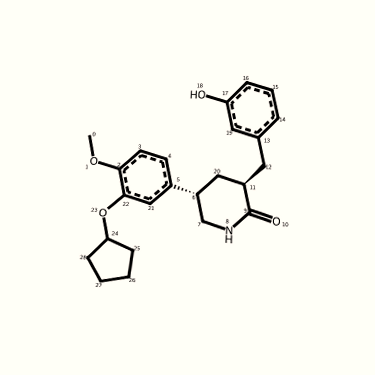 COc1ccc([C@H]2CNC(=O)[C@H](Cc3cccc(O)c3)C2)cc1OC1CCCC1